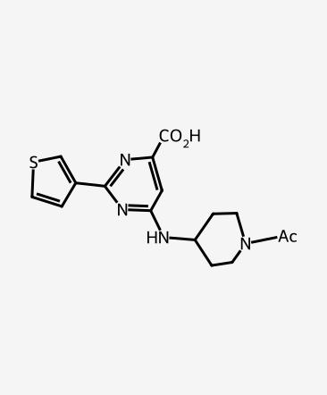 CC(=O)N1CCC(Nc2cc(C(=O)O)nc(-c3ccsc3)n2)CC1